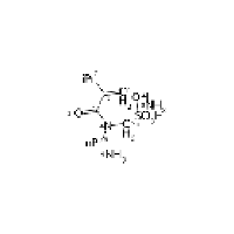 C=C(C(=O)N(C)CCC)C(C)C.N.N.O=S(=O)(O)O